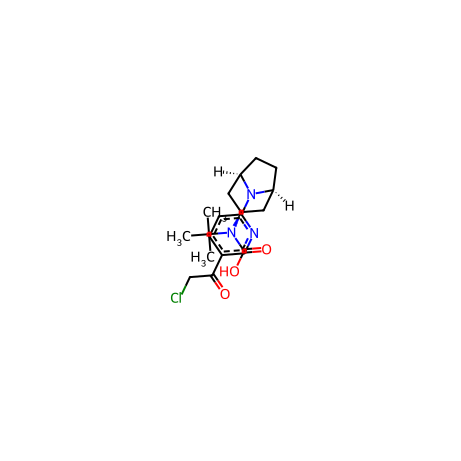 CC(C)(C)N(C(=O)O)[C@H]1C[C@H]2CC[C@@H](C1)N2c1ccc(C(=O)CCl)cn1